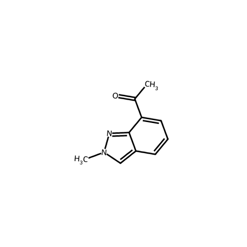 CC(=O)c1cccc2cn(C)nc12